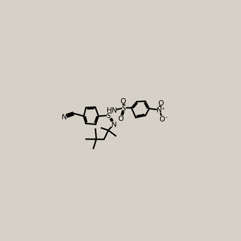 CC(C)(C)CC(C)(C)N=S(NS(=O)(=O)c1ccc([N+](=O)[O-])cc1)c1ccc(C#N)cc1